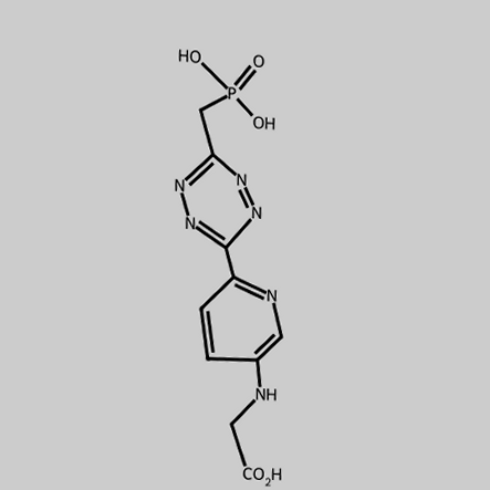 O=C(O)CNc1ccc(-c2nnc(CP(=O)(O)O)nn2)nc1